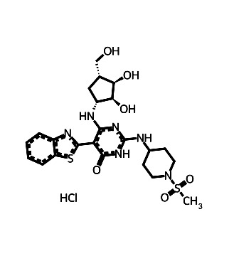 CS(=O)(=O)N1CCC(Nc2nc(N[C@@H]3C[C@H](CO)[C@@H](O)[C@H]3O)c(-c3nc4ccccc4s3)c(=O)[nH]2)CC1.Cl